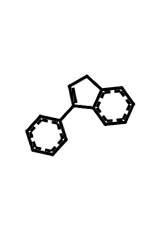 C1=C(c2ccccc2)c2ccccc2C1